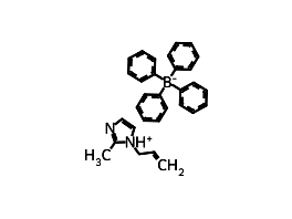 C=CC[NH+]1C=CN=C1C.c1ccc([B-](c2ccccc2)(c2ccccc2)c2ccccc2)cc1